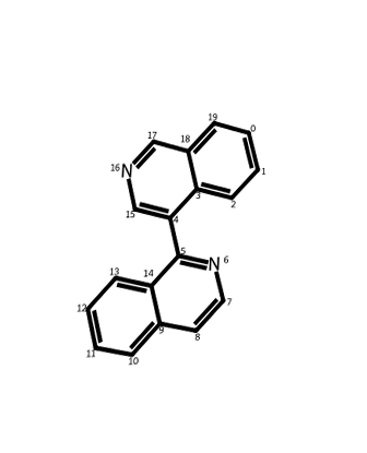 c1ccc2c(-c3nccc4ccccc34)cncc2c1